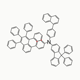 c1ccc(-c2c(-c3ccccc3)c(-c3ccccc3)c3c(-c4ccc(N(c5ccc(-c6cccc7ccccc67)cc5)c5ccc6c(c5)-c5ccccc5C6(c5ccccc5)c5ccccc5)cc4)cccc3c2-c2ccccc2)cc1